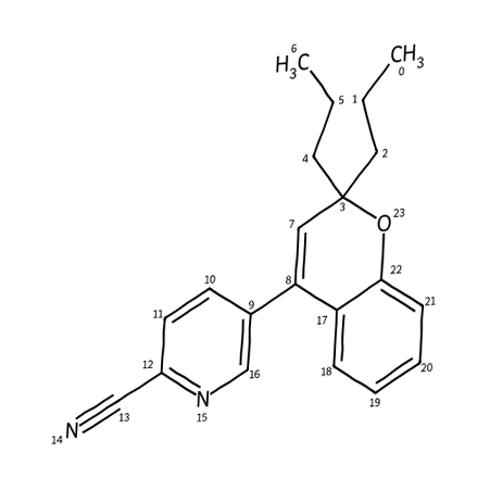 CCCC1(CCC)C=C(c2ccc(C#N)nc2)c2ccccc2O1